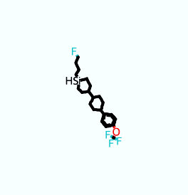 FCCCC[SiH]1CCC(C2CCC(c3ccc(OC(F)(F)F)cc3)CC2)CC1